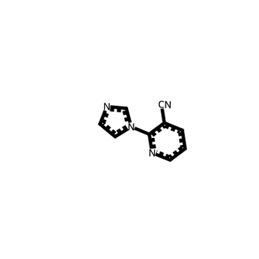 N#Cc1cccnc1-n1ccnc1